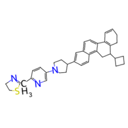 C1=NCCS1.Cc1ccc(N2CCC(c3ccc4c5c(ccc4c3)C3=C(CCC=C3)C(C3CCC3)C5)CC2)cn1